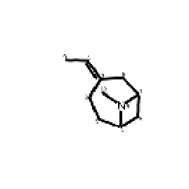 C/C=C1\CCC2CC(C1)N2C